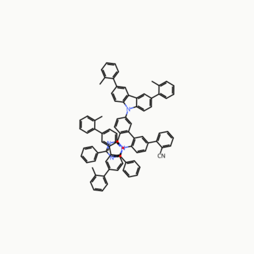 Cc1ccccc1-c1ccc2c(c1)c1cc(-c3ccccc3C)ccc1n2-c1ccc(-c2nc(-c3ccccc3)nc(-c3ccccc3)n2)c(-c2cc(-c3ccccc3C#N)ccc2-n2c3ccc(-c4ccccc4C)cc3c3cc(-c4ccccc4C)ccc32)c1